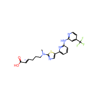 CN(CCC/C=C/C(=O)O)c1ncc(-c2cccc(Nc3cc(C(F)(F)F)ccn3)n2)s1